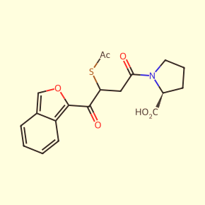 CC(=O)SC(CC(=O)N1CCC[C@H]1C(=O)O)C(=O)c1occ2ccccc12